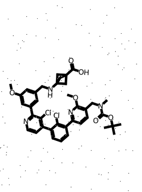 COc1cc(CNC23CC(C(=O)O)(C2)C3)cc(-c2nccc(-c3cccc(-c4ccc(CN(C)C(=O)OC(C)(C)C)c(OC)n4)c3Cl)c2Cl)c1